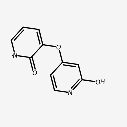 O=C1[N]C=CC=C1Oc1ccnc(O)c1